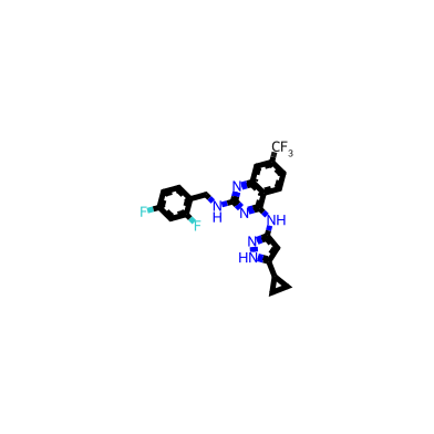 Fc1ccc(CNc2nc(Nc3cc(C4CC4)[nH]n3)c3ccc(C(F)(F)F)cc3n2)c(F)c1